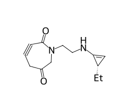 CC[C@H]1C=C1NCCN1CC(=O)CC#CC1=O